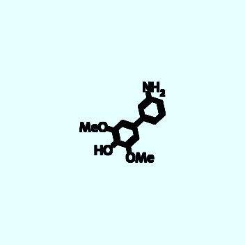 COc1cc(-c2cccc(N)c2)cc(OC)c1O